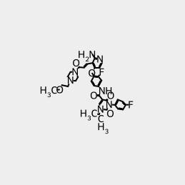 COCCN1CCN(C(=O)/C=C/c2c(Oc3ccc(NC(=O)c4cn(C(C)C)c(=O)n(-c5ccc(F)cc5)c4=O)cc3F)ccnc2N)CC1